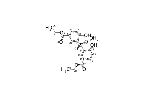 CCOC(=O)c1ccc(O)c(S(=O)(=O)c2cc(C(=O)OCC)ccc2O)c1.O